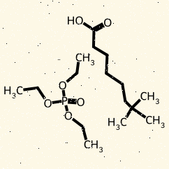 CC(C)(C)CCCCCC(=O)O.CCOP(=O)(OCC)OCC